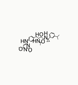 COc1cc(Nc2ccc(C[C@H](NC(C)=O)[C@H](O)CNC3(c4cccc(C(C)C)c4)CC3)cc2)nc(OC)n1